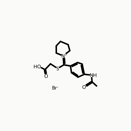 CC(=O)Nc1ccc(C(SCC(=O)O)=[N+]2CCCCC2)cc1.[Br-]